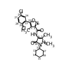 Cc1c(C(=O)Nc2c(C)n(C)n(C3CCCCC3)c2=O)noc1-c1cc(Cl)ccc1Cl